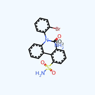 NC(=O)N(c1ccccc1Br)c1ccccc1-c1c([N+](=O)[O-])cccc1S(N)(=O)=O